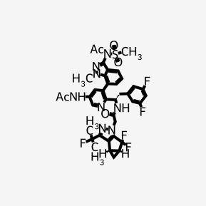 CC(=O)Nc1cnc([C@H](Cc2cc(F)cc(F)c2)NC(=O)Cn2nc(C(C)(C)F)c3c2C(F)(F)[C@@H]2C[C@H]32)c(-c2cccc3c(N(C(C)=O)S(C)(=O)=O)nn(C)c23)c1